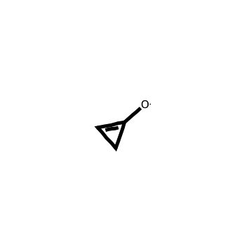 [O]C1=CC1